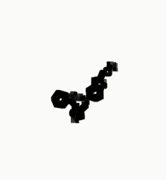 CCCCN(Cc1cncn1Cc1ccccc1)c1ccc2sc(COCC)cc2c1